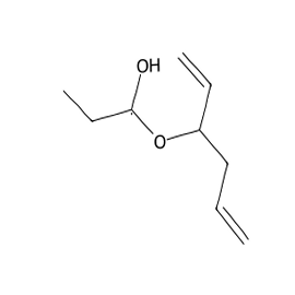 C=CCC(C=C)O[C](O)CC